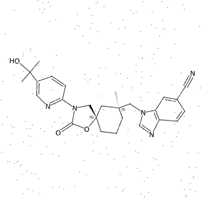 CC(C)(O)c1ccc(N2C[C@@]3(CCC[C@](C)(Cn4cnc5ccc(C#N)cc54)C3)OC2=O)nc1